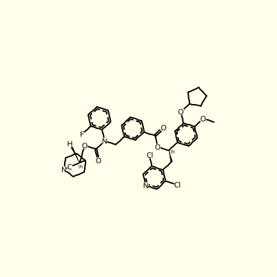 COc1ccc([C@@H](Cc2c(Cl)cncc2Cl)OC(=O)c2cccc(CN(C(=O)O[C@H]3CN4CCC3CC4)c3ccccc3F)c2)cc1OC1CCCC1